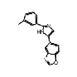 Cc1cccc(-c2ncc(-c3ccc4ocnc4c3)[nH]2)c1